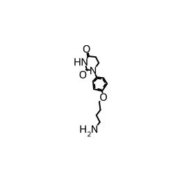 NCCCCOc1ccc(N2CCC(=O)NC2=O)cc1